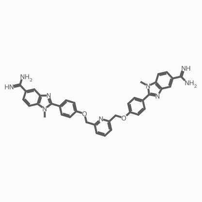 Cn1c(-c2ccc(OCc3cccc(COc4ccc(-c5nc6cc(C(=N)N)ccc6n5C)cc4)n3)cc2)nc2cc(C(=N)N)ccc21